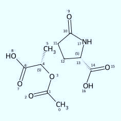 CC(=O)O[C@@H](C)C(=O)O.O=C1CC[C@@H](C(=O)O)N1